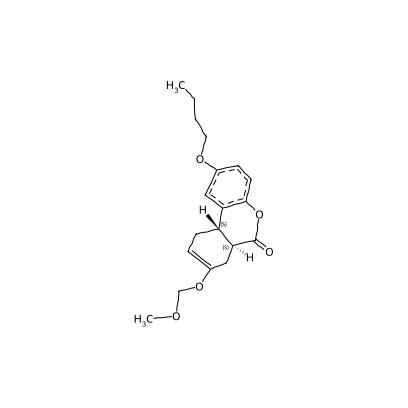 CCCCOc1ccc2c(c1)[C@H]1CC=C(OCOC)C[C@@H]1C(=O)O2